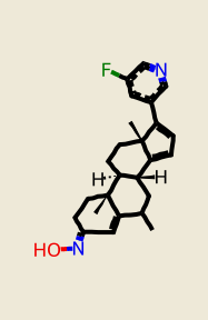 CC1C[C@H]2C3=CC=C(c4cncc(F)c4)[C@@]3(C)CC[C@@H]2[C@@]2(C)CCC(=NO)C=C12